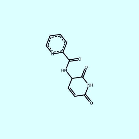 O=C1C=CC(NC(=O)c2ccccn2)C(=O)N1